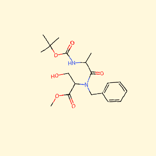 COC(=O)C(CO)N(Cc1ccccc1)C(=O)C(C)NC(=O)OC(C)(C)C